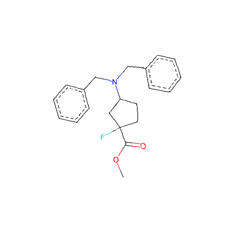 COC(=O)C1(F)CCC(N(Cc2ccccc2)Cc2ccccc2)C1